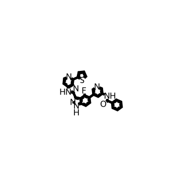 O=C(Nc1cncc(-c2ccc3[nH]nc(-c4nc5c(-c6cccs6)nccc5[nH]4)c3c2F)c1)c1ccccc1